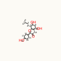 CC(C)=CCc1c(O)cc(O)c2c1OC(c1ccc(O)cc1)C(=O)C2